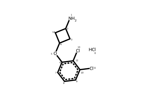 Cl.NC1CC(Oc2cccc(Cl)c2Cl)C1